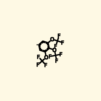 FC(F)(F)Oc1c[c]cc(OC(F)(F)F)c1OC(F)(F)F